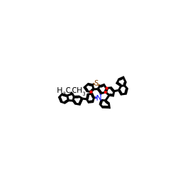 CC1(C)c2ccccc2-c2ccc(-c3ccc(N(c4ccccc4-c4cccc(-c5cccc6ccccc56)c4)c4cccc5sc6ccccc6c45)cc3)cc21